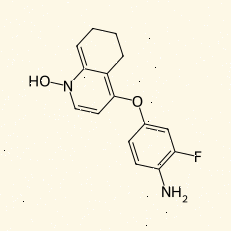 Nc1ccc(OC2=C3CCCC=C3N(O)C=C2)cc1F